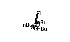 CCCCO[Si](CCCCCCl)(OCCCC)OCCCC